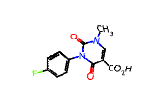 Cn1cc(C(=O)O)c(=O)n(-c2ccc(F)cc2)c1=O